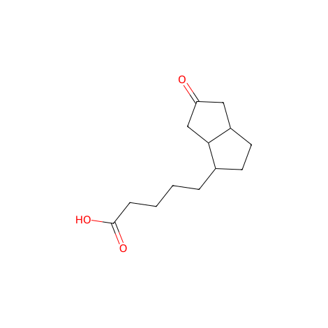 O=C(O)CCCCC1CCC2CC(=O)CC12